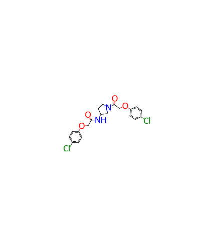 O=C(COc1ccc(Cl)cc1)NC1CCN(C(=O)COc2ccc(Cl)cc2)C1